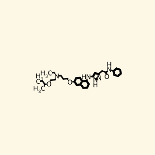 CCC(C)OCCN(CC)CCCOc1ccc2c(Nc3cc(CC(=O)Nc4ccccc4)n[nH]3)cccc2c1